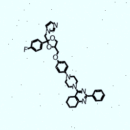 Fc1ccc(C2(Cn3ccnc3)OCC(COc3ccc(N4CCN(c5nc(-c6ccccc6)nc6c5CCCC6)CC4)cc3)O2)cc1